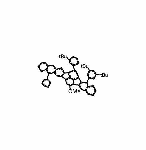 COc1cc2c3c(c(-c4cccc(C(C)(C)C)c4)cc4c3c1-c1cc3ccccc3c(-c3cc(C(C)(C)C)cc(C(C)(C)C)c3)c1-4)-c1cc3cc4ccccc4c(-c4ccccc4)c3cc1-2